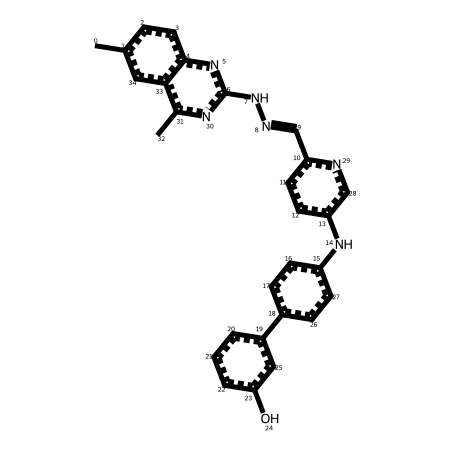 Cc1ccc2nc(N/N=C/c3ccc(Nc4ccc(-c5cccc(O)c5)cc4)cn3)nc(C)c2c1